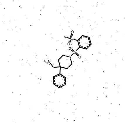 CS(=O)(=O)c1ccccc1S(=O)(=O)N1CCC(CN)(c2ccccc2)CC1